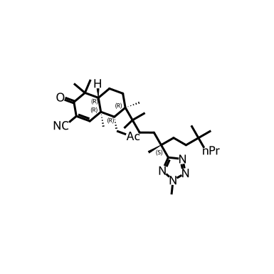 CCCC(C)(C)CC[C@@](C)(CCC(C)(C)[C@]1(C)CC[C@H]2C(C)(C)C(=O)C(C#N)=C[C@]2(C)[C@H]1CC(C)=O)c1nnn(C)n1